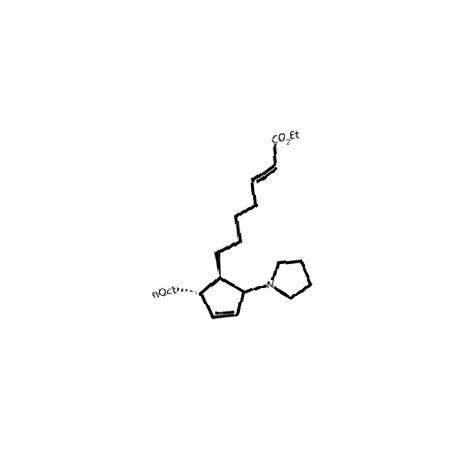 CCCCCCCC[C@H]1C=CC(N2CCCC2)[C@@H]1CCCCC=CC(=O)OCC